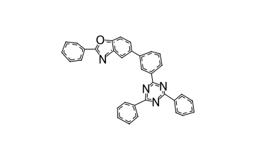 c1ccc(-c2nc(-c3ccccc3)nc(-c3cccc(-c4ccc5oc(-c6ccccc6)nc5c4)c3)n2)cc1